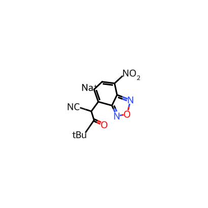 CC(C)(C)C(=O)C(C#N)c1ccc([N+](=O)[O-])c2nonc12.[Na+]